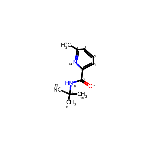 Cc1cccc(C(=O)NC(C)(C)C#N)n1